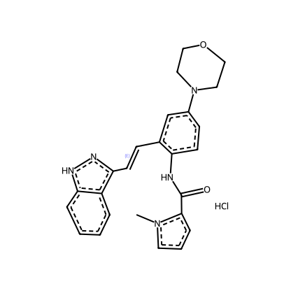 Cl.Cn1cccc1C(=O)Nc1ccc(N2CCOCC2)cc1/C=C/c1n[nH]c2ccccc12